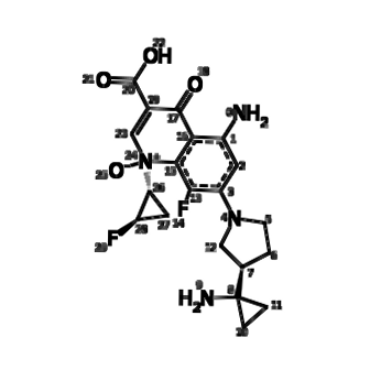 Nc1cc(N2CC[C@@H](C3(N)CC3)C2)c(F)c2c1C(=O)C(C(=O)O)=C[N+]2([O-])[C@@H]1C[C@H]1F